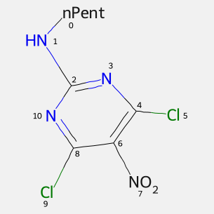 CCCCCNc1nc(Cl)c([N+](=O)[O-])c(Cl)n1